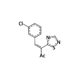 CC(=O)/C(=C/c1cccc(Cl)c1)c1ncns1